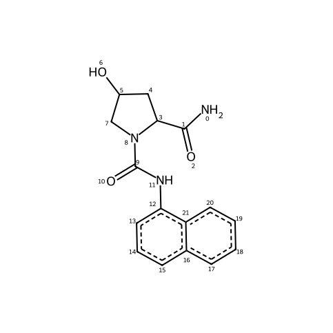 NC(=O)C1CC(O)CN1C(=O)Nc1cccc2ccccc12